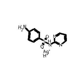 Nc1ccc(S(=O)(=O)Nc2ncccn2)cc1.[Ag+].[H+]